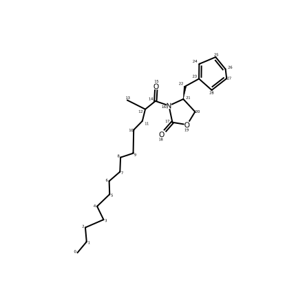 CCCCCCCCCCCCC(C)C(=O)N1C(=O)OC[C@@H]1Cc1ccccc1